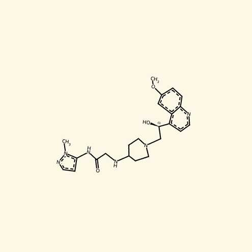 COc1ccc2nccc([C@H](O)CN3CCC(NCC(=O)Nc4ccnn4C)CC3)c2c1